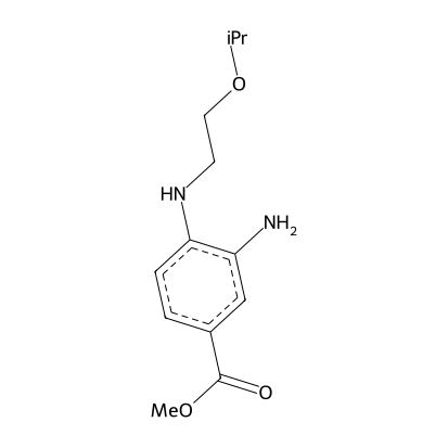 COC(=O)c1ccc(NCCOC(C)C)c(N)c1